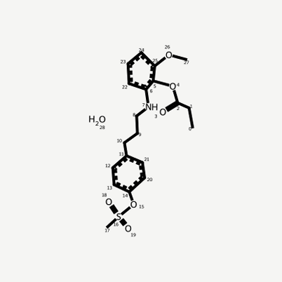 CCC(=O)Oc1c(NCCCc2ccc(OS(C)(=O)=O)cc2)cccc1OC.O